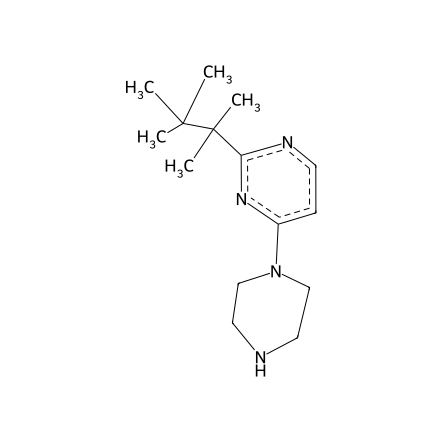 CC(C)(C)C(C)(C)c1nccc(N2CCNCC2)n1